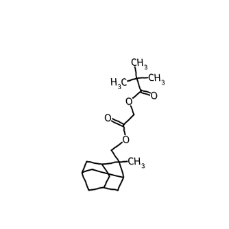 CC(C)(C)C(=O)OCC(=O)OCC1(C)C2CC3CC(C2)CC1C3